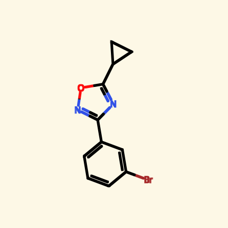 Brc1cccc(-c2noc(C3CC3)n2)c1